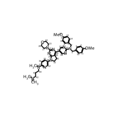 COc1ccc(CN(Cc2ccc(OC)cc2)c2ncc(-c3nc(N4CCOCC4)nc4c3CCN4c3ccc(N(C)CCCN(C)C)nc3)cn2)cc1